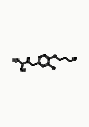 N=C(N)NCc1ccc(OCCC[18F])c(Br)c1